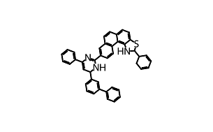 C1=CCC(C2Nc3c(ccc4ccc5cc(C6=NC(c7ccccc7)=CC(c7cccc(-c8ccccc8)c7)N6)ccc5c34)S2)C=C1